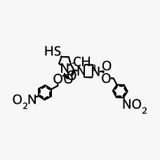 C[C@@]1(C(=O)N2CCN(C(=O)OCc3ccc([N+](=O)[O-])cc3)CC2)C[C@H](S)CN1C(=O)OCc1ccc([N+](=O)[O-])cc1